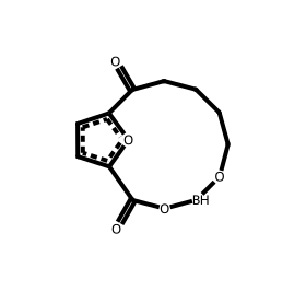 O=C1CCCCOBOC(=O)c2ccc1o2